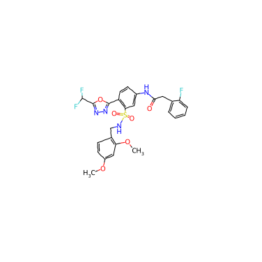 COc1ccc(CNS(=O)(=O)c2cc(NC(=O)Cc3ccccc3F)ccc2-c2nnc(C(F)F)o2)c(OC)c1